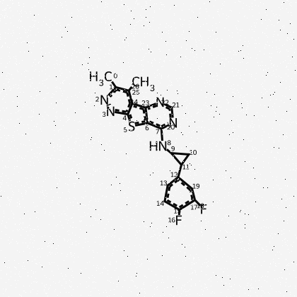 Cc1nnc2sc3c(NC4CC4c4ccc(F)c(F)c4)ncnc3c2c1C